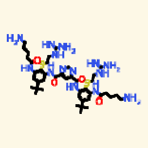 CC(C)(C)c1cc(NC(=O)CCCCN)c(SCCNC(=N)N)c(NC(=O)c2cc(C(=O)Nc3cc(C(C)(C)C)cc(NC(=O)CCCCN)c3SCCNC(=N)N)ncn2)c1